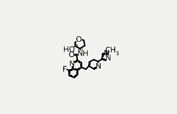 Cn1cc(C2CC=C(Cc3cc(C(=O)N[C@H]4CCOC[C@@H]4O)nc4c(F)cccc34)C=N2)cn1